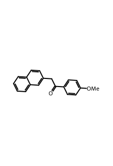 COc1ccc(C(=O)Cc2ccc3ccccc3c2)cc1